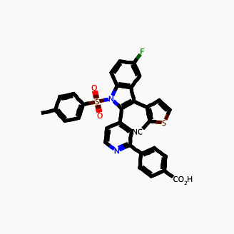 Cc1ccc(S(=O)(=O)n2c(-c3ccnc(-c4ccc(C(=O)O)cc4)c3)c(-c3ccsc3C#N)c3cc(F)ccc32)cc1